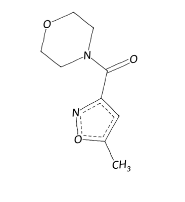 Cc1cc(C(=O)N2CCOCC2)no1